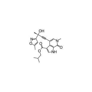 Cc1cc([C@](C)(O)C#Cc2cn(C)c(=O)c3[nH]cc(C(=O)OCC(C)C)c23)no1